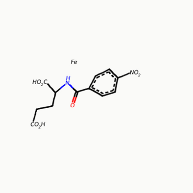 O=C(O)CCC(NC(=O)c1ccc([N+](=O)[O-])cc1)C(=O)O.[Fe]